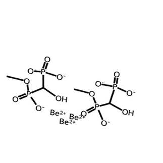 COP(=O)([O-])C(O)P(=O)([O-])[O-].COP(=O)([O-])C(O)P(=O)([O-])[O-].[Be+2].[Be+2].[Be+2]